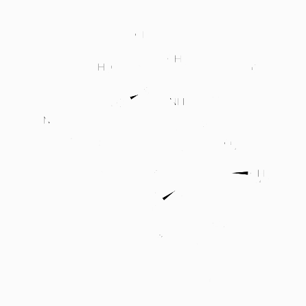 CCOC(=O)C1(N[S@@+]([O-])C(C)(C)C)c2cc(C#N)ccc2[C@@]12C[C@@H](C)[C@H](OC(F)F)[C@H]2C